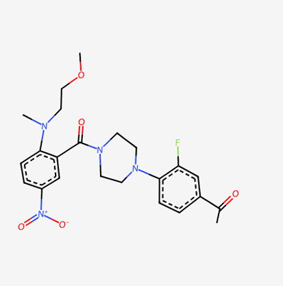 COCCN(C)c1ccc([N+](=O)[O-])cc1C(=O)N1CCN(c2ccc(C(C)=O)cc2F)CC1